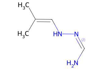 CC(C)=CN/N=C\N